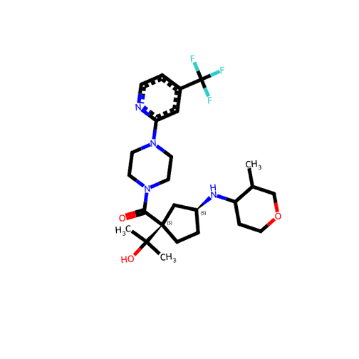 CC1COCCC1N[C@H]1CC[C@@](C(=O)N2CCN(c3cc(C(F)(F)F)ccn3)CC2)(C(C)(C)O)C1